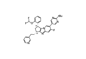 CC(C)(C)c1ncc(-c2cn3c4c(nc3cc2F)[C@H](CCc2cccnc2)C[C@@H]4c2ccccc2OC(F)F)cn1